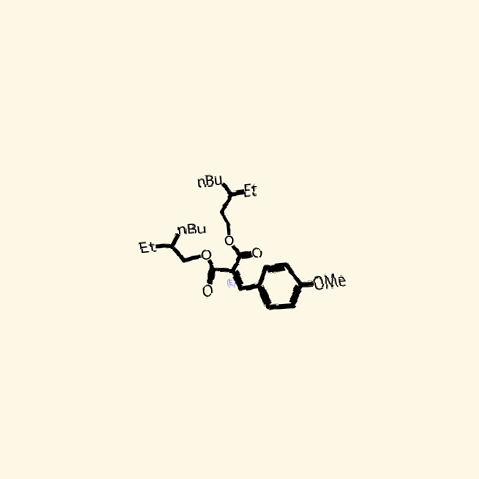 CCCCC(CC)CCOC(=O)/C(=C\c1ccc(OC)cc1)C(=O)OCC(CC)CCCC